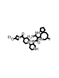 CCOC1CN(C(=O)C2CCN(C3CCNCC3NC(=O)C(C(N)N)C3CC4(CCCC4)CCC(F)CN3)CC2)C1